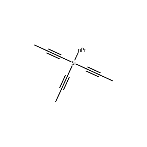 CC#C[Si](C#CC)(C#CC)CCC